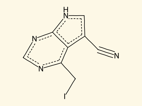 N#Cc1c[nH]c2ncnc(CI)c12